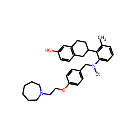 CCN(Cc1ccc(OCCN2CCCCCC2)cc1)c1cccc(C)c1C1CCc2cc(O)ccc2C1